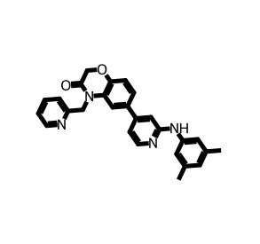 Cc1cc(C)cc(Nc2cc(-c3ccc4c(c3)N(Cc3ccccn3)C(=O)CO4)ccn2)c1